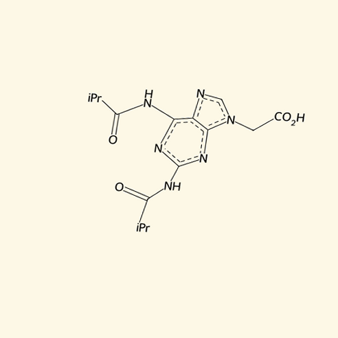 CC(C)C(=O)Nc1nc(NC(=O)C(C)C)c2ncn(CC(=O)O)c2n1